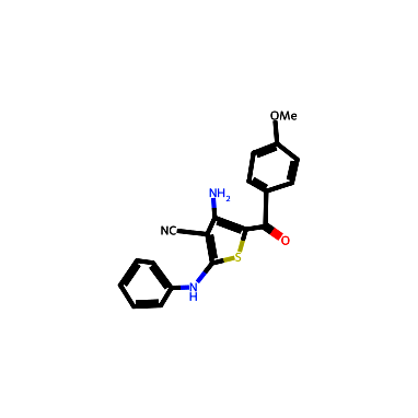 COc1ccc(C(=O)c2sc(Nc3ccccc3)c(C#N)c2N)cc1